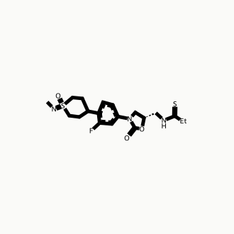 CCC(=S)NC[C@H]1CN(c2ccc(C3CCS(=O)(=NC)CC3)c(F)c2)C(=O)O1